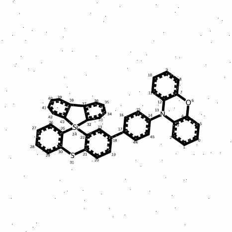 c1ccc2c(c1)Oc1ccccc1N2c1ccc(-c2ccc3c(c2)[Si]2(c4ccccc4S3)c3ccccc3-c3ccccc32)cc1